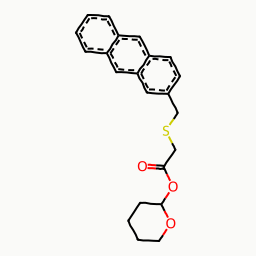 O=C(CSCc1ccc2cc3ccccc3cc2c1)OC1CCCCO1